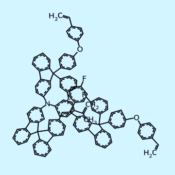 C=Cc1ccc(Oc2ccc(C3(c4cccc(F)c4)c4ccccc4-c4ccc(/C(=C\c5ccc6c(c5)C5(c7ccccc7-6)c6ccccc6-c6ccc(N(c7ccc(C(=C)C)cc7)c7ccc8c(c7)C(c7ccc(Oc9ccc(C=C)cc9)cc7)(c7cccc(F)c7)c7ccccc7-8)cc65)c5ccc(F)cc5)cc43)cc2)cc1